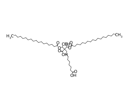 CCCCCCCCCCCCCCCCCC(=O)OC(C)C(CCCCCCCCC(=O)O)(C(=O)O)C(C)OC(=O)CCCCCCCCCCCCCCCCC